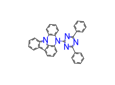 c1ccc(-c2nc(-c3ccccc3)nc(N3c4ccccc4-n4c5ccccc5c5cccc3c54)n2)cc1